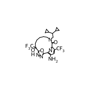 Nc1cc(C(F)(F)F)c2nc1-c1nnc(o1)[C@@](O)(C(F)(F)F)CCCCCN(CC(C1CC1)C1CC1)C2=O